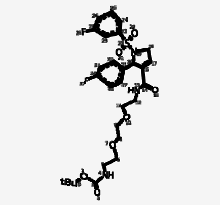 CC(C)(C)OC(=O)NCCOCCOCCNC(=O)C1=CCN(S(=O)(=O)c2cccc(F)c2)C1c1ccc(F)cc1